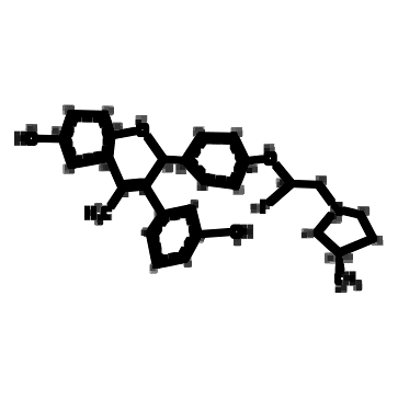 CC1=C(c2cccc(O)c2)C(c2ccc(OC(F)CN3CC[C@@H](C)C3)cc2)Oc2ccc(O)cc21